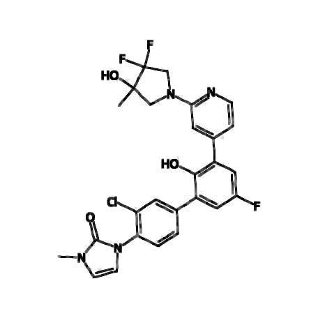 Cn1ccn(-c2ccc(-c3cc(F)cc(-c4ccnc(N5CC(C)(O)C(F)(F)C5)c4)c3O)cc2Cl)c1=O